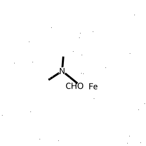 CN(C)C=O.[Fe]